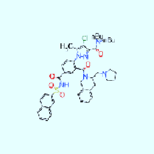 CCCCN(CCCC)C(=O)c1nn(-c2ccc(C(=O)NS(=O)(=O)c3ccc4ccccc4c3)cc2C(=O)N2Cc3ccccc3CC2CN2CCCC2)c(C)c1Cl